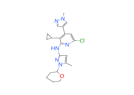 Cc1cc(Nc2nc(Cl)cc(-c3cnn(C)c3)c2C2CC2)nn1C1CCCCO1